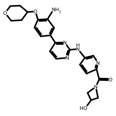 Nc1cc(-c2ccnc(Nc3ccc(C(=O)N4CC(O)C4)nc3)n2)ccc1OC1CCOCC1